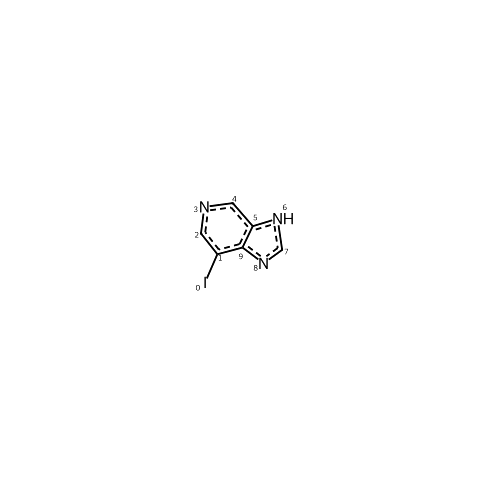 Ic1cncc2[nH]cnc12